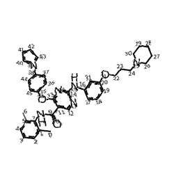 Cc1cccc(C)c1NC(=O)c1cnc(Nc2cccc(OCCCN3CCCCC3)c2)nc1Oc1ccc(-n2cccc2)cc1